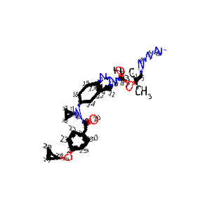 CC(C)(CN=[N+]=[N-])OC(=O)n1cc2c(n1)CCC(N(C(=O)c1ccc(OC3CC3)cc1)C1CC1)C2